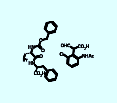 CC(=O)Nc1cccc(Cl)c1C(C=O)C(=O)O.CC(C)C[C@H](NC(=O)OCc1ccccc1)C(=O)N[C@@H](Cc1ccccc1)C(=O)O